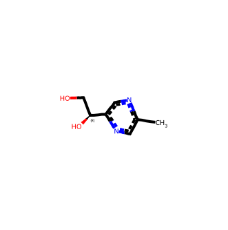 Cc1cnc([C@@H](O)CO)cn1